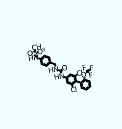 CS(=O)(=O)Nc1ccc(CNC(=O)Nc2cc(Cl)c(-c3ccccc3OC(F)(F)F)c(Cl)c2)cc1